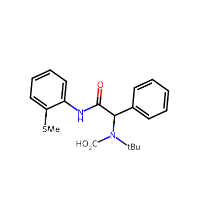 CSc1ccccc1NC(=O)C(c1ccccc1)N(C(=O)O)C(C)(C)C